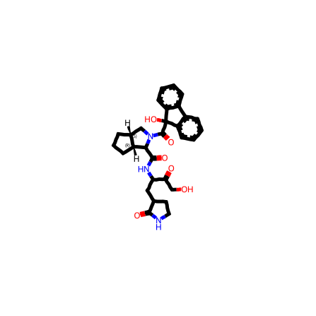 O=C1NCCC1CC(NC(=O)C1[C@@H]2CCC[C@@H]2CN1C(=O)C1(O)c2ccccc2-c2ccccc21)C(=O)CO